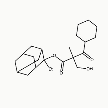 CCC1(OC(=O)C(C)(CO)C(=O)C2CCCCC2)C2CC3CC(C2)CC1C3